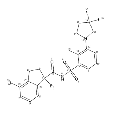 CCC1(C(=O)NS(=O)(=O)c2cccc(N3CCC(F)(F)C3)c2C)CCc2c(Cl)cccc21